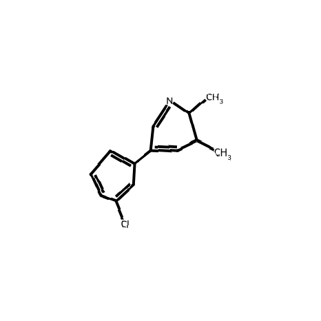 CC1C=C(c2cccc(Cl)c2)C=NC1C